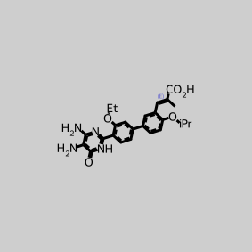 CCOc1cc(-c2ccc(OC(C)C)c(/C=C(\C)C(=O)O)c2)ccc1-c1nc(N)c(N)c(=O)[nH]1